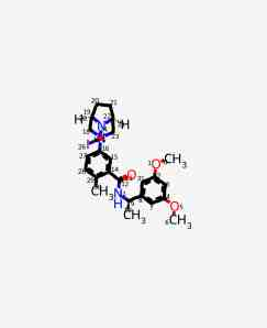 COc1cc(OC)cc([C@@H](C)NC(=O)c2cc(N3C[C@H]4CC[C@@H](C3)N4CI)ccc2C)c1